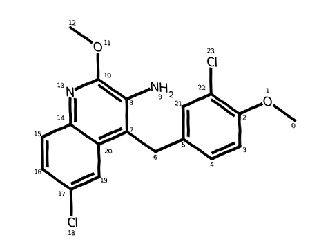 COc1ccc(Cc2c(N)c(OC)nc3ccc(Cl)cc23)cc1Cl